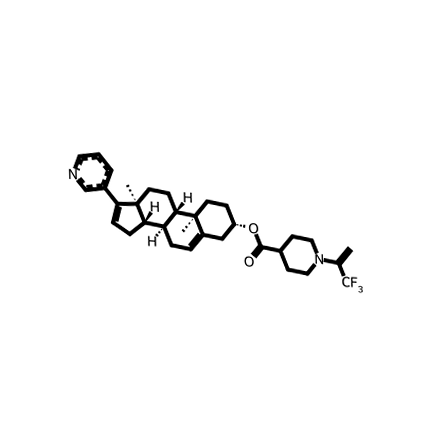 C=C(N1CCC(C(=O)O[C@H]2CC[C@@]3(C)C(=CC[C@@H]4[C@@H]3CC[C@]3(C)C(c5cccnc5)=CC[C@@H]43)C2)CC1)C(F)(F)F